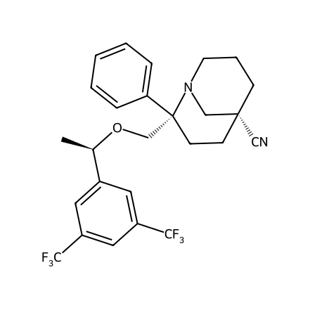 C[C@@H](OC[C@@]1(c2ccccc2)CC[C@]2(C#N)CCCN1C2)c1cc(C(F)(F)F)cc(C(F)(F)F)c1